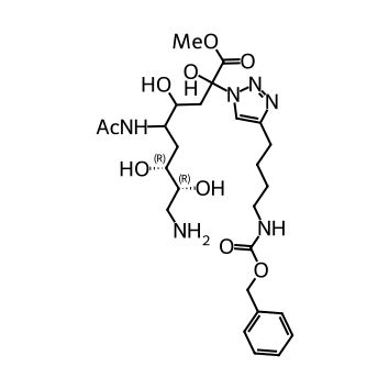 COC(=O)C(O)(CC(O)C(C[C@@H](O)[C@H](O)CN)NC(C)=O)n1cc(CCCCNC(=O)OCc2ccccc2)nn1